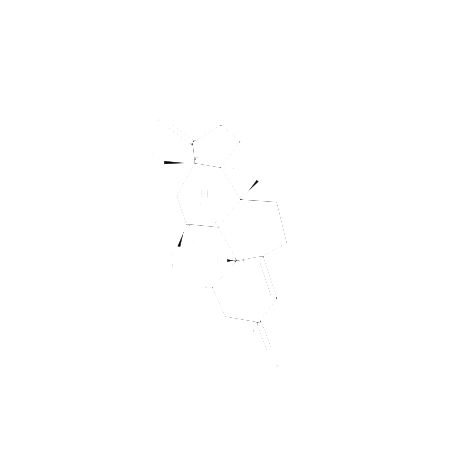 C[C@H]1C[C@@H]2[C@H]([C@@H](O)C[C@]3(C)C(=O)CC[C@@H]23)[C@H]2CCC(=O)C=C12